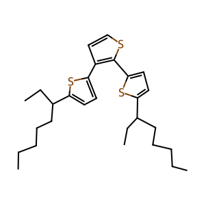 CCCCCC(CC)c1ccc(-c2ccsc2-c2ccc(C(CC)CCCCC)s2)s1